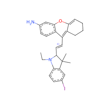 CCN1c2ccc(I)cc2C(C)(C)C1/C=C/C1=C2CCCC=C2Oc2cc(N)ccc21